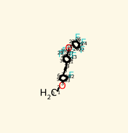 C=CCOc1ccc(C#Cc2cc(F)c(C(F)(F)Oc3cc(F)c(F)c(F)c3)c(F)c2)c(F)c1